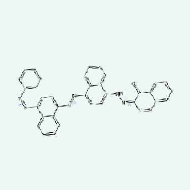 O=C1/C(=N\Nc2ccc(/N=N/c3ccc(/N=N\c4ccccc4)c4ccccc34)c3ccccc23)C=Cc2ccccc21